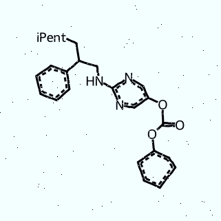 CCCC(C)CC(CNc1ncc(OC(=O)Oc2ccccc2)cn1)c1ccccc1